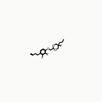 C=CCCc1ccc(OCC2OCC(F)(CCC)CO2)c(F)c1F